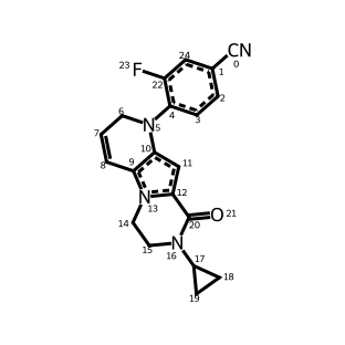 N#Cc1ccc(N2CC=Cc3c2cc2n3CCN(C3CC3)C2=O)c(F)c1